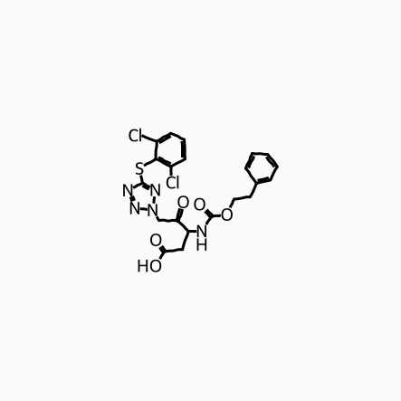 O=C(O)CC(NC(=O)OCCc1ccccc1)C(=O)Cn1nnc(Sc2c(Cl)cccc2Cl)n1